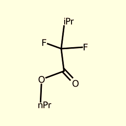 CCCOC(=O)C(F)(F)C(C)C